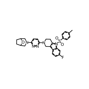 Cc1ccc(S(=O)(=O)n2c3c(c4ccc(F)cc42)CN(c2ccc(N4CC5CCC(C4)O5)nn2)CC3)cc1